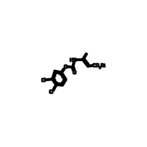 CCOC(=O)C=C(C)NC(=O)Oc1ccc(Cl)c(Cl)c1